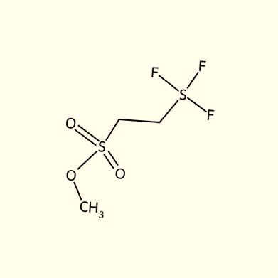 COS(=O)(=O)CCS(F)(F)F